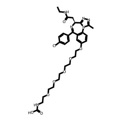 CCNC(=O)C[C@@H]1N=C(c2ccc(Cl)cc2)c2cc(OCCOCCOCCOCCOCCNC(=O)O)ccc2-n2c(C)nnc21